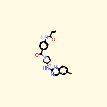 C=CC(=O)Nc1ccc(C(=O)N2CC[C@H](Nc3ncc4cc(C)ccc4n3)C2)cc1